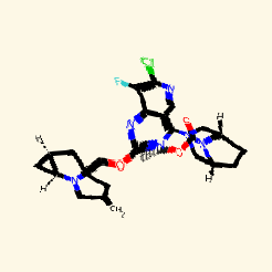 C=C1CN2[C@H]3C[C@H]3CC2(COc2nc(N3C[C@H]4CC[C@@H](C3)N4C(=O)OC(C)(C)C)c3cnc(Cl)c(F)c3n2)C1